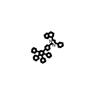 c1ccc(-c2cc(-c3cccc4ccccc34)nc(-c3ccc(-c4cc(-c5ccccc5)c(-c5ccccc5)c(-c5ccccc5)c4-c4ccccc4)cc3)n2)cc1